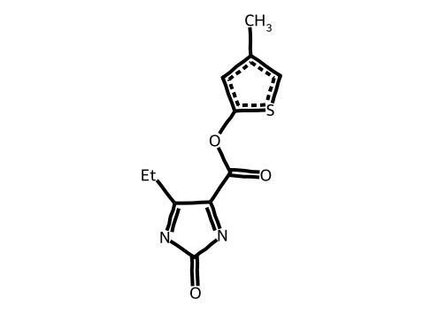 CCC1=NC(=O)N=C1C(=O)Oc1cc(C)cs1